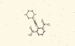 O=[N+]([O-])c1cccc([N+](=O)[O-])c1C#CC1CCCCC1